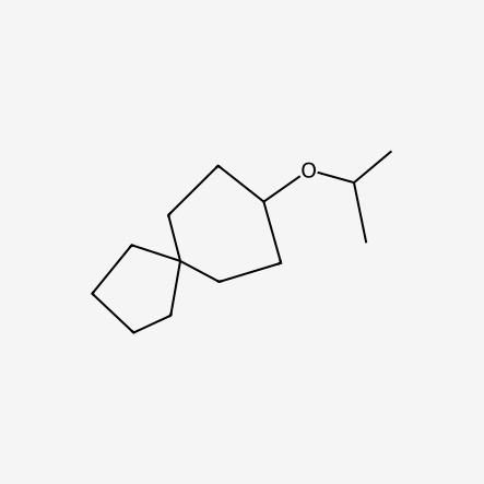 CC(C)OC1CCC2(CCCC2)CC1